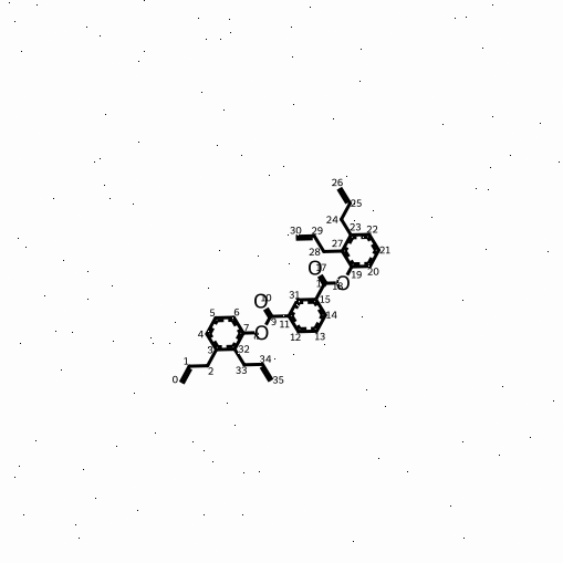 C=CCc1cccc(OC(=O)c2cccc(C(=O)Oc3cccc(CC=C)c3CC=C)c2)c1CC=C